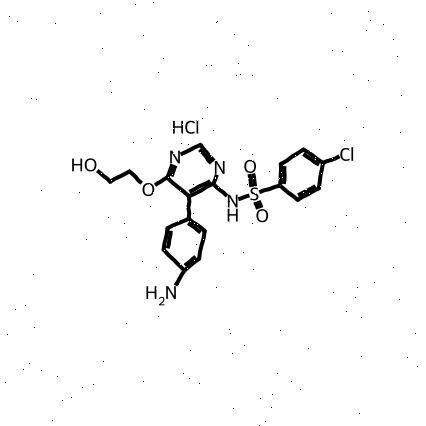 Cl.Nc1ccc(-c2c(NS(=O)(=O)c3ccc(Cl)cc3)ncnc2OCCO)cc1